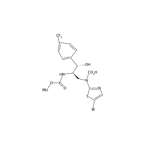 CC(C)(C)OC(=O)N[C@H](CN(C(=O)O)c1ncc(Br)s1)[C@@H](O)c1ccc(C(F)(F)F)cc1